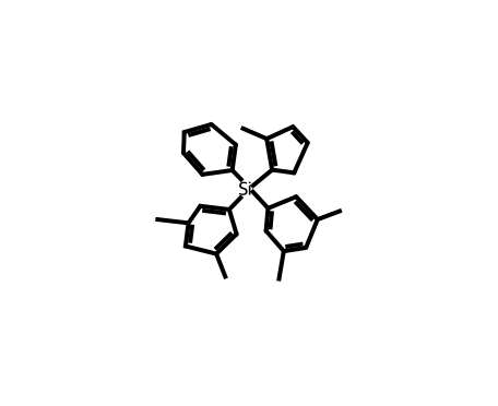 CC1=C([Si](c2ccccc2)(c2cc(C)cc(C)c2)c2cc(C)cc(C)c2)CC=C1